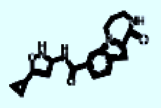 O=C(NC1C=C(C2CC2)ON1)c1ccc2cc3n(c2c1)CCCNC3=O